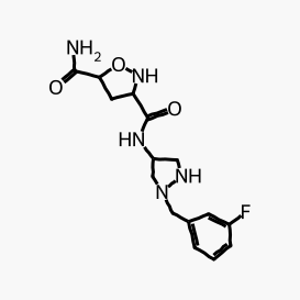 NC(=O)C1CC(C(=O)NC2CNN(Cc3cccc(F)c3)C2)NO1